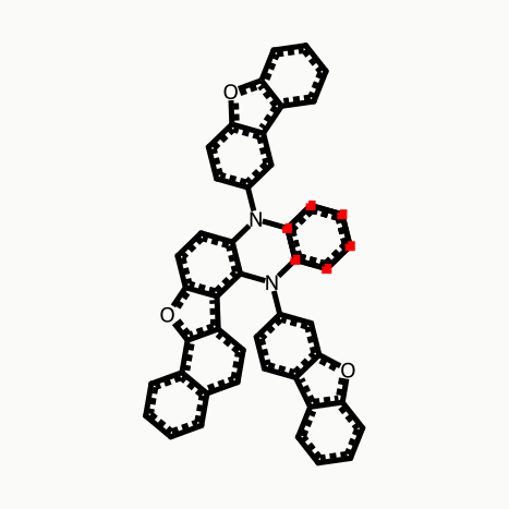 c1ccc(N(c2ccc3oc4ccccc4c3c2)c2ccc3oc4c5ccccc5ccc4c3c2N(c2ccccc2)c2ccc3c(c2)oc2ccccc23)cc1